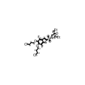 CCOP(=O)(CNS(=O)(=O)c1cc2c(F)c(OCCCCl)c(OCCCCl)c(F)c2s1)OCC